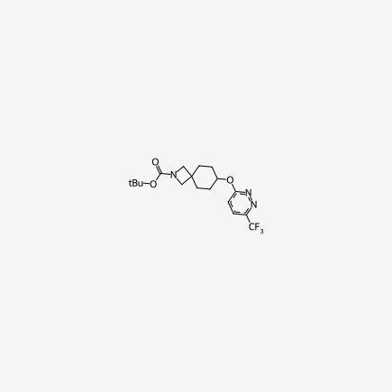 CC(C)(C)OC(=O)N1CC2(CCC(Oc3ccc(C(F)(F)F)nn3)CC2)C1